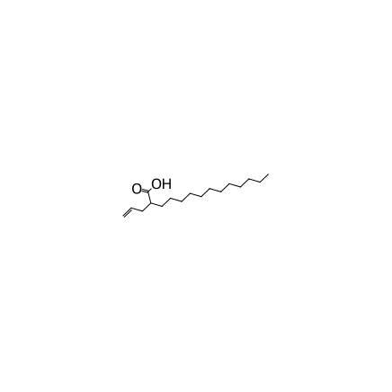 C=CCC(CCCCCCCCCCCC)C(=O)O